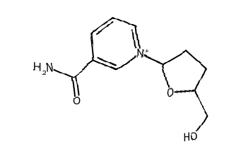 NC(=O)c1ccc[n+](C2CCC(CO)O2)c1